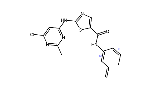 C=C/C=C(\C=C/C)NC(=O)c1cnc(Nc2cc(Cl)nc(C)n2)s1